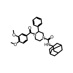 COc1ccc(C(=O)N2CCN(C(=O)NC34CC5CC(CC(C5)C3)C4)CC2c2ccccc2)cc1OC